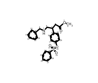 COC(=O)CC(CNCc1ccccc1)c1ccc(OS(=O)(=O)c2ccccc2)cc1